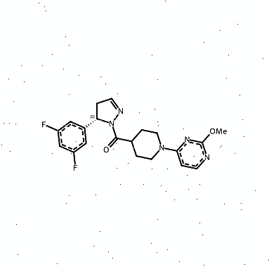 COc1nccc(N2CCC(C(=O)N3N=CC[C@H]3c3cc(F)cc(F)c3)CC2)n1